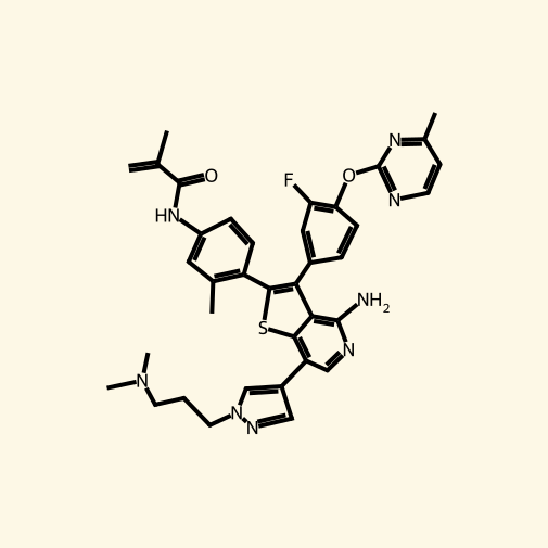 C=C(C)C(=O)Nc1ccc(-c2sc3c(-c4cnn(CCCN(C)C)c4)cnc(N)c3c2-c2ccc(Oc3nccc(C)n3)c(F)c2)c(C)c1